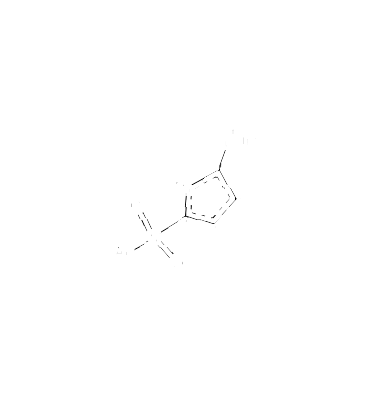 CC(=O)S(=O)(=O)c1ccc([C]=O)s1